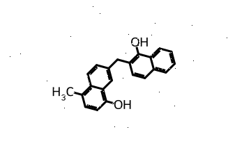 Cc1ccc(O)c2cc(Cc3ccc4ccccc4c3O)ccc12